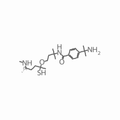 CN[C@@H](C)CCC(C)(S)OCCC(C)(C)NC(=O)c1ccc(C(C)(C)N)cc1